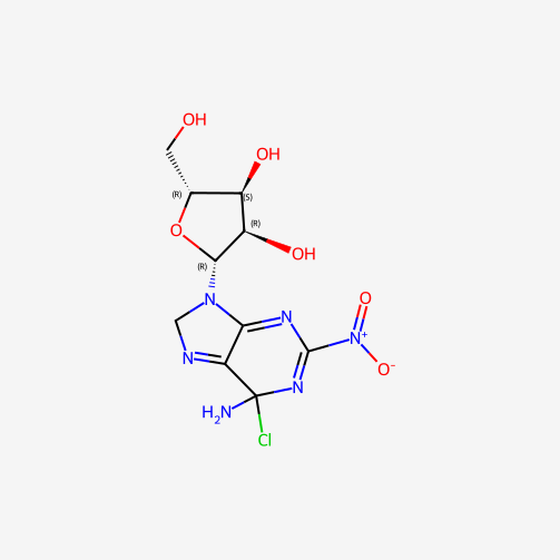 NC1(Cl)N=C([N+](=O)[O-])N=C2C1=NCN2[C@@H]1O[C@H](CO)[C@@H](O)[C@H]1O